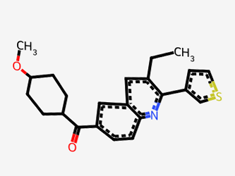 CCc1cc2cc(C(=O)C3CCC(OC)CC3)ccc2nc1-c1ccsc1